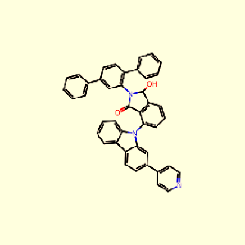 O=C1c2c(cccc2-n2c3ccccc3c3ccc(-c4ccncc4)cc32)C(O)N1c1cc(-c2ccccc2)ccc1-c1ccccc1